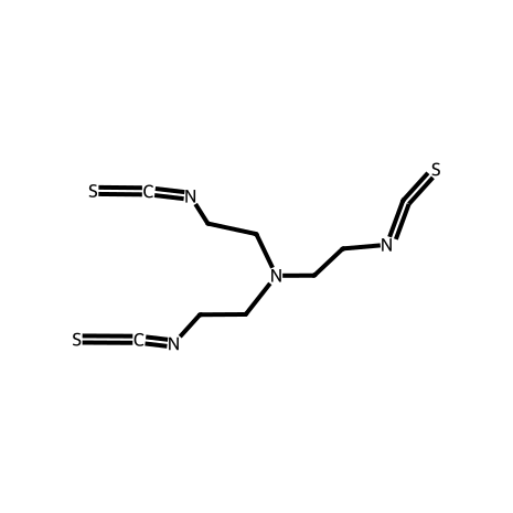 S=C=NCCN(CCN=C=S)CCN=C=S